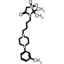 Cc1cccc(N2CCN(CCCCN3C(=O)CS(=O)(=O)C3(C)C)CC2)c1